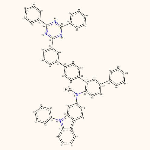 CN(c1ccc2c3ccccc3n(-c3ccccc3)c2c1)c1ccc(-c2ccccc2)cc1-c1ccc(-c2cccc(-c3nc(-c4ccccc4)nc(-c4ccccc4)n3)c2)cc1